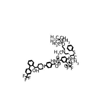 CC(Sc1ccccc1)[C@@H](CCN(C)CCO[Si](C)(C)C(C)(C)C)Nc1ccc(S(=O)(=O)NC(=O)c2ccc(N3CCC([C@@H](O)c4ccccc4-c4ccc(C(F)(F)F)cc4)CC3)cc2)cc1S(=O)(=O)C(F)(F)F